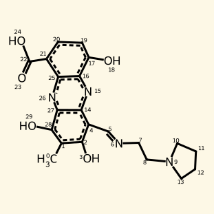 Cc1c(O)c(C=NCCN2CCCC2)c2nc3c(O)ccc(C(=O)O)c3nc2c1O